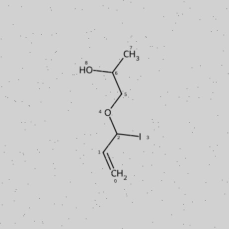 C=CC(I)OCC(C)O